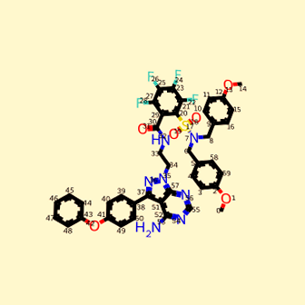 COc1ccc(CN(Cc2ccc(OC)cc2)S(=O)(=O)c2c(F)c(F)c(F)c(F)c2C(=O)NCCn2nc(-c3ccc(Oc4ccccc4)cc3)c3c(N)ncnc32)cc1